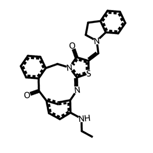 CCNc1ccc2cc1/N=c1/s/c(=C/N3CCc4ccccc43)c(=O)n1Cc1ccccc1C2=O